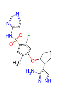 Cc1cc(S(=O)(=O)Nc2ccncn2)c(F)cc1O[C@H]1CCC[C@@H]1c1c[nH]nc1N